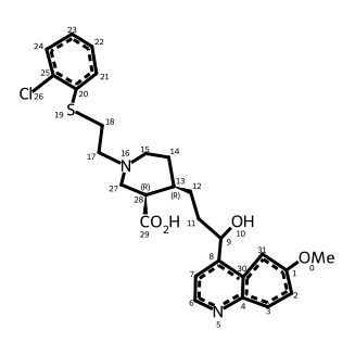 COc1ccc2nccc(C(O)CC[C@@H]3CCN(CCSc4ccccc4Cl)C[C@@H]3C(=O)O)c2c1